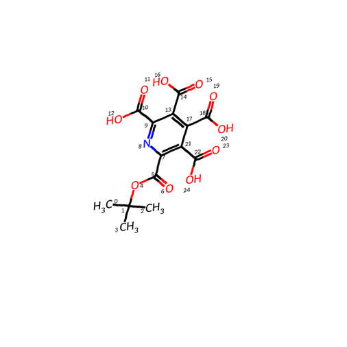 CC(C)(C)OC(=O)c1nc(C(=O)O)c(C(=O)O)c(C(=O)O)c1C(=O)O